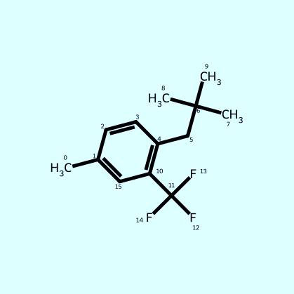 Cc1ccc(CC(C)(C)C)c(C(F)(F)F)c1